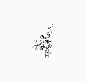 CCCCOC(=O)Nc1cc(C(C)(C)C)sc1C(=O)NC